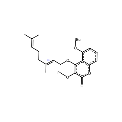 CC(C)=CCC/C(C)=C/COc1c(OC(C)C)c(=O)oc2cccc(OC(C)(C)C)c12